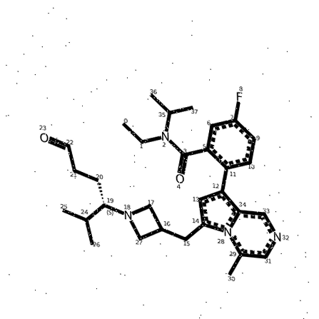 CCN(C(=O)c1cc(F)ccc1-c1cc(CC2CN([C@@H](CCC=O)C(C)C)C2)n2c(C)cncc12)C(C)C